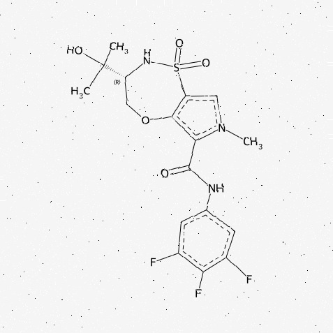 Cn1cc2c(c1C(=O)Nc1cc(F)c(F)c(F)c1)OC[C@H](C(C)(C)O)NS2(=O)=O